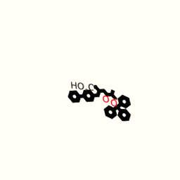 CC(COC(c1ccccc1)(c1ccccc1)c1ccccc1)C(=O)CC(CC(=O)O)Cc1ccc(-c2ccccc2)cc1